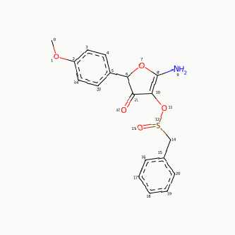 COc1ccc(C2OC(N)=C(OS(=O)Cc3ccccc3)C2=O)cc1